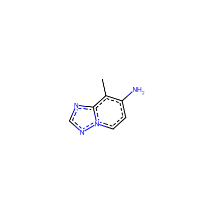 Cc1c(N)ccn2ncnc12